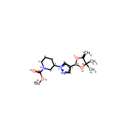 C=C1OB(c2cnn(C3CCCN(C(=O)OC(C)(C)C)C3)c2)OC1(C)C